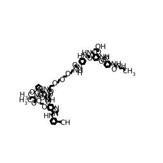 C#Cc1cccc(Nc2ncnc3cc(OCCOC)c(OCCOC(=O)[C@@H](NC(=O)[C@@H]4CCCN4C(=O)[C@H](CC(=O)O)NC(=O)CCOCCOCCOCCNC(=O)Nc4ccc(NC(=O)N[C@H](CC(=O)O)c5cccc(NS(=O)(=O)c6cccc(NC(=O)NCCC)c6)c5)cc4)C(C)C)cc23)c1